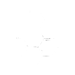 CCOC(=O)COc1cccc(Cl)c1C(=O)OC